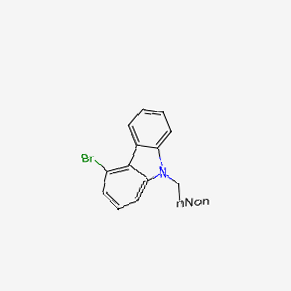 CCCCCCCCCCn1c2ccccc2c2c(Br)cccc21